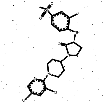 CS(=O)(=O)c1ccc(N[C@H]2CCN(C3CCN(c4ncc(Cl)cc4Cl)CC3)C2=O)c(F)c1